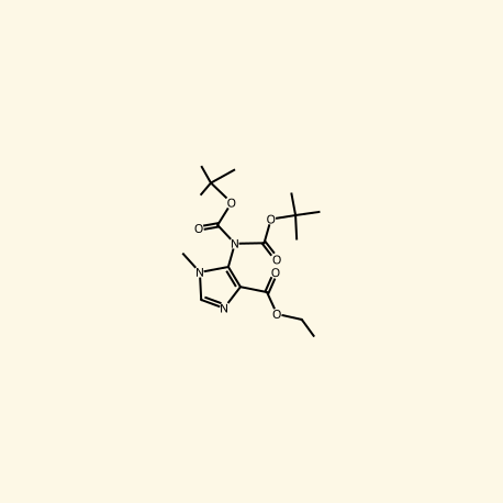 CCOC(=O)c1ncn(C)c1N(C(=O)OC(C)(C)C)C(=O)OC(C)(C)C